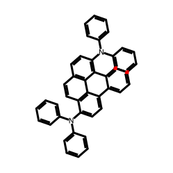 c1ccc(N(c2ccccc2)c2ccc3c4ccccc4c4c(N(c5ccccc5)c5ccccc5)ccc5ccc2c3c54)cc1